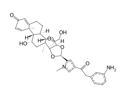 Cn1cc(C(=O)Cc2cccc(N)c2)cc1[C@@H]1O[C@@H]2C[C@H]3[C@@H]4CCC5=CC(=O)C=C[C@]5(C)[C@H]4[C@@H](O)C[C@]3(C)[C@]2(C(=O)CO)O1